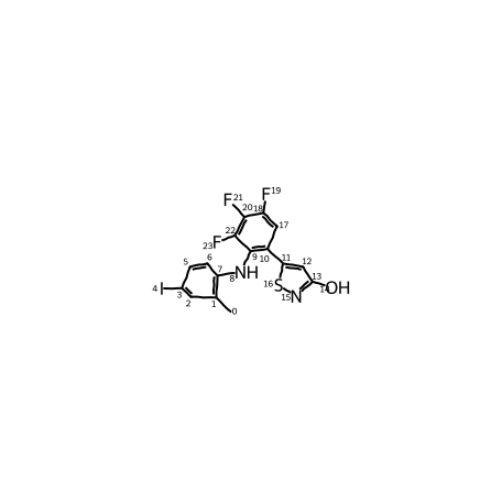 Cc1cc(I)ccc1Nc1c(-c2cc(O)ns2)cc(F)c(F)c1F